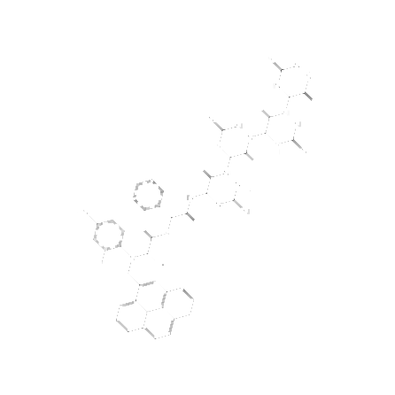 N=C(N)NC(NC(=O)C(NC(=N)N)NC(=O)C(NC(=N)N)NC(=O)C(NC(=N)N)NC(=O)C(NC(=O)C(O)N(CC1=CC2=C3C(=CC=C4C=CC=C1C43)CC=C2)c1ccc([N+](=O)[O-])cc1C(=O)O)c1ccccc1)C(N)=O